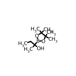 CCC(C)(O)B1OC(C)(C)C(C)(C)O1